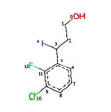 OCCC(I)c1cccc(Cl)c1F